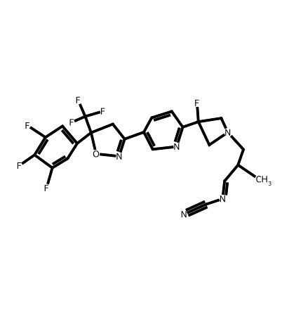 CC(C=NC#N)CN1CC(F)(c2ccc(C3=NOC(c4cc(F)c(F)c(F)c4)(C(F)(F)F)C3)cn2)C1